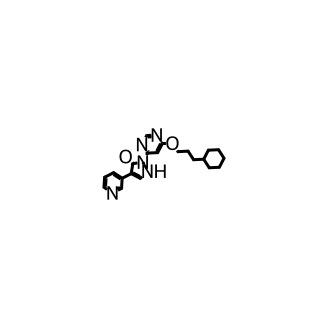 O=c1c(-c2cccnc2)c[nH]n1-c1cc(OCCCC2CCCCC2)ncn1